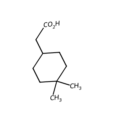 CC1(C)CCC(CC(=O)O)CC1